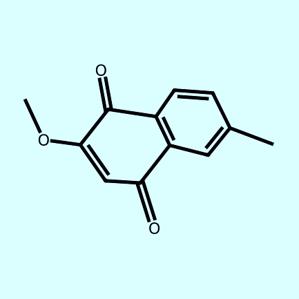 COC1=CC(=O)c2cc(C)ccc2C1=O